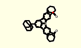 O=C1c2cc3c(cc2C2CCC1CC2)c1cc(C24CC5CC(CC(C5)C2)C4)cc2c4cc5c(cc4n3c12)C(=O)C1CCC5CC1